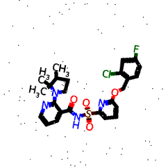 CC1CCN(c2ncccc2C(=O)NS(=O)(=O)c2cccc(OCc3ccc(F)cc3Cl)n2)C1(C)C